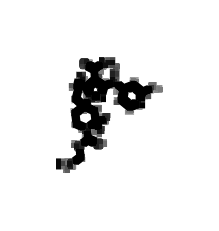 CCOC(=O)N1CCC(CC#N)(n2cc(C(N)=O)c(Nc3ccnc(F)c3)n2)CC1(F)F